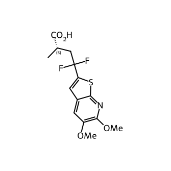 COc1cc2cc(C(F)(F)C[C@H](C)C(=O)O)sc2nc1OC